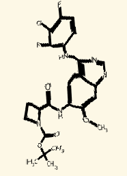 COc1cc2ncnc(Nc3ccc(F)c(Cl)c3F)c2cc1NC(=O)C1CCN1C(=O)OC(C)(C)C